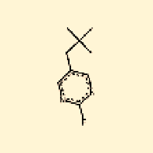 CC(C)(C)Cc1cnc(F)nc1